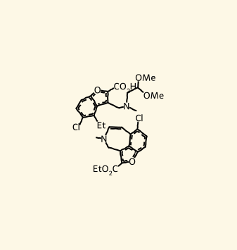 CCOC(=O)c1oc2ccc(Cl)c3c2c1CN(C)C=C3.CCc1c(Cl)ccc2oc(C(=O)O)c(CN(C)CC(OC)OC)c12